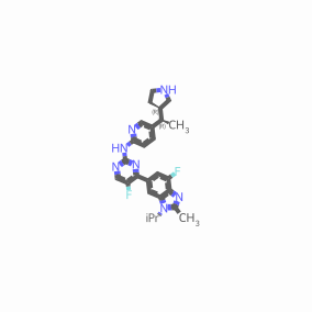 Cc1nc2c(F)cc(-c3nc(Nc4ccc([C@H](C)[C@H]5CCNC5)cn4)ncc3F)cc2n1C(C)C